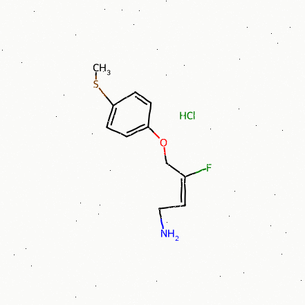 CSc1ccc(OC/C(F)=C\CN)cc1.Cl